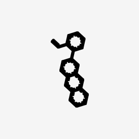 C=Cc1ccccc1-c1ccc2cc3ccccc3cc2c1